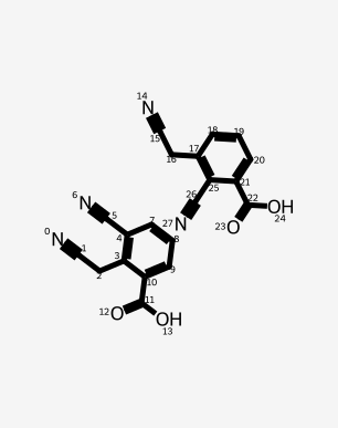 N#CCc1c(C#N)cccc1C(=O)O.N#CCc1cccc(C(=O)O)c1C#N